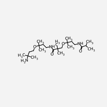 CC(C)C(=O)NCCC(C)(C)OCC(C)(C)C(=O)NCCC(C)(C)OCCC(C)(C)N